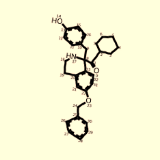 O=C(C1CCCCC1)C1(Cc2ccc(O)cc2)NCCc2cc(OCc3ccccc3)ccc21